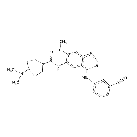 C#Cc1cccc(Nc2ncnc3cc(OC)c(NC(=O)N4CCC(N(C)C)CC4)cc23)c1